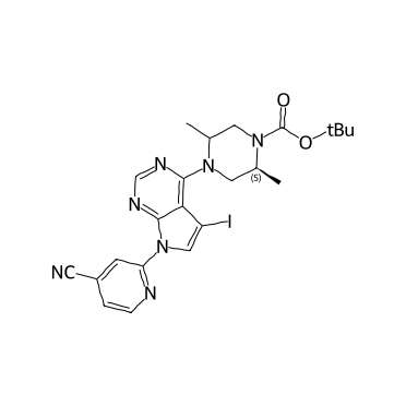 CC1CN(C(=O)OC(C)(C)C)[C@@H](C)CN1c1ncnc2c1c(I)cn2-c1cc(C#N)ccn1